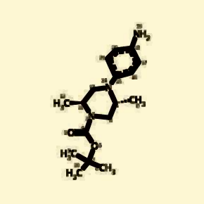 C[C@@H]1CN(C(=O)OC(C)(C)C)[C@@H](C)CN1c1ccc(N)cc1